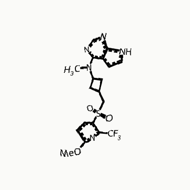 COc1ccc(S(=O)(=O)CC2CC(N(C)c3ncnc4[nH]ccc34)C2)c(C(F)(F)F)n1